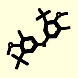 COc1c(C)cc(Sc2cc(C)c(OC)c(C(C)(C)C)c2)cc1C(C)(C)C